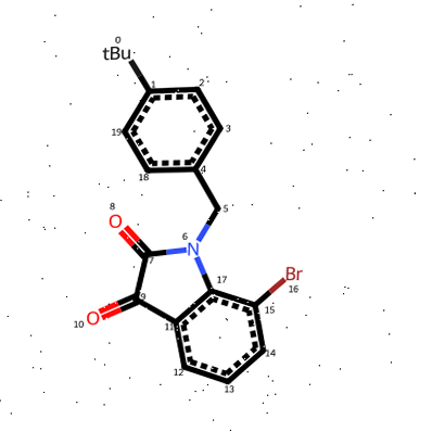 CC(C)(C)c1ccc(CN2C(=O)C(=O)c3cccc(Br)c32)cc1